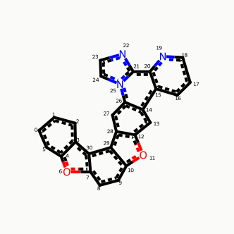 c1ccc2c(c1)oc1ccc3oc4cc5c6cccnc6c6nccn6c5cc4c3c12